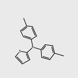 Cc1ccc(P(c2ccc(C)cc2)c2cccs2)cc1